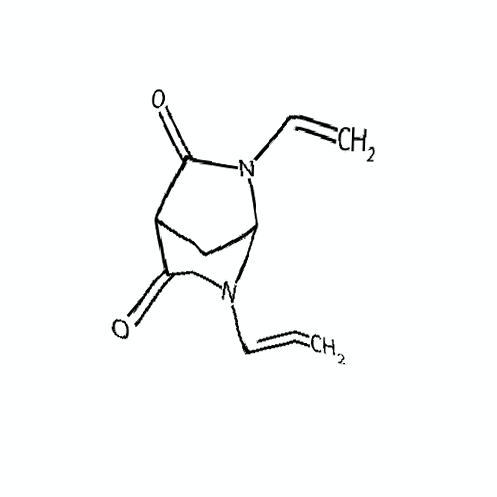 C=CN1C(=O)C2CC1N(C=C)C2=O